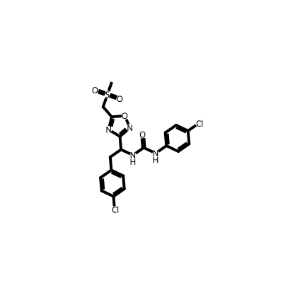 CS(=O)(=O)Cc1nc(C(Cc2ccc(Cl)cc2)NC(=O)Nc2ccc(Cl)cc2)no1